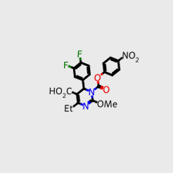 CCC1=C(C(=O)O)C(c2ccc(F)c(F)c2)N(C(=O)Oc2ccc([N+](=O)[O-])cc2)C(OC)=N1